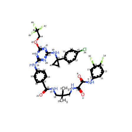 CC(C)(CNC(=O)C(=O)Nc1ccc(F)c(F)c1)CNC(=O)c1ccc(Nc2nc(NC3(c4ccc(Cl)cc4)CC3)nc(OCC(F)(F)F)n2)cc1